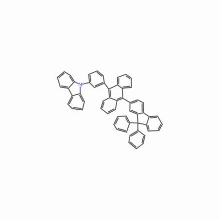 c1ccc(C2(c3ccccc3)c3ccccc3-c3ccc(-c4c5ccccc5c(-c5cccc(-n6c7ccccc7c7ccccc76)c5)c5ccccc45)cc32)cc1